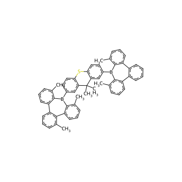 Cc1cccc2c1B(c1ccc3c(c1)C(C)(C)c1cc(B4c5c(C)cccc5-c5cccc(C)c5-c5cccc(C)c54)ccc1S3)c1c(C)cccc1-c1ccccc1-2